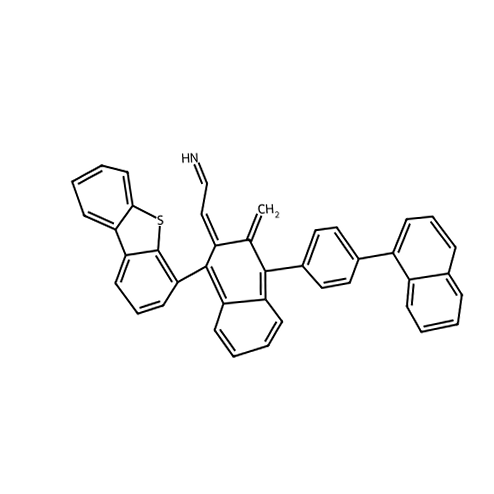 C=c1c(-c2ccc(-c3cccc4ccccc34)cc2)c2ccccc2c(-c2cccc3c2sc2ccccc23)/c1=C/C=N